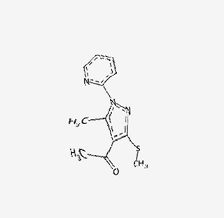 CSc1nn(-c2ccccn2)c(C)c1C(C)=O